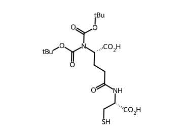 CC(C)(C)OC(=O)N(C(=O)OC(C)(C)C)[C@@H](CCC(=O)N[C@@H](CS)C(=O)O)C(=O)O